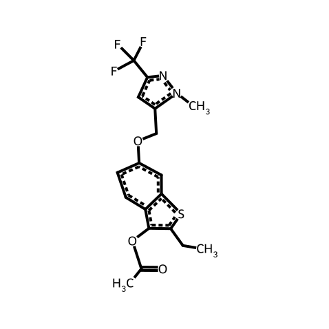 CCc1sc2cc(OCc3cc(C(F)(F)F)nn3C)ccc2c1OC(C)=O